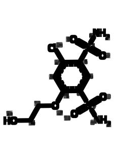 NS(=O)(=O)c1cc(S(N)(=O)=O)c(OCCO)cc1Cl